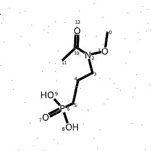 CON(CCCP(=O)(O)O)C(C)=O